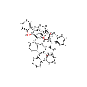 c1ccc(-c2ccccc2-c2c3cccc(-c4c5ccccc5cc5c4oc4ccccc45)c3cc3c(-c4c5ccccc5cc5c4oc4ccccc45)cccc23)cc1